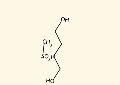 CS(=O)(=O)O.OCCCCO